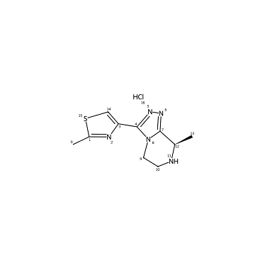 Cc1nc(-c2nnc3n2CCN[C@@H]3C)cs1.Cl